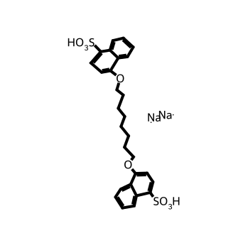 O=S(=O)(O)c1ccc(OCCCCCCCCOc2ccc(S(=O)(=O)O)c3ccccc23)c2ccccc12.[Na].[Na]